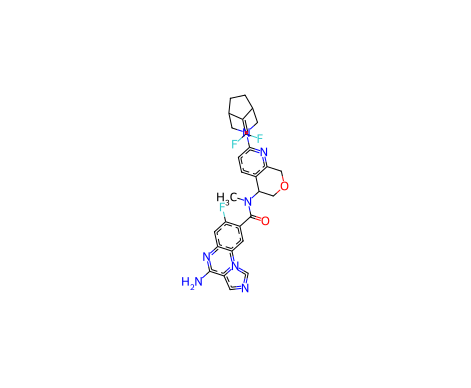 CN(C(=O)c1cc2c(cc1F)nc(N)c1cncn12)C1COCc2nc(N3CC4CCC(C3)C4=C(F)F)ccc21